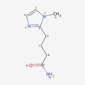 Cn1ccnc1CCCC(N)=O